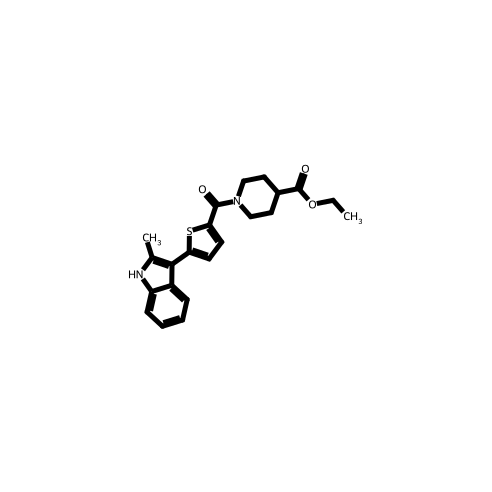 CCOC(=O)C1CCN(C(=O)c2ccc(-c3c(C)[nH]c4ccccc34)s2)CC1